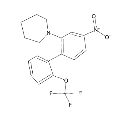 O=[N+]([O-])c1ccc(-c2ccccc2OC(F)(F)F)c(N2CCCCC2)c1